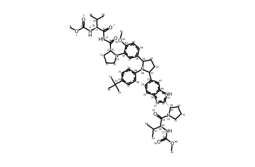 COC(=O)N[C@H](C(=O)NC(=O)[C@@H]1CCCN1c1cc(C2CCC(c3ccc4nc([C@@H]5CCCN5C(=O)[C@@H](NC(=O)OC)C(C)C)[nH]c4c3)N2c2ccc(C(C)(C)C)cc2)ccc1OC)C(C)C